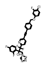 OC(Cn1cnnn1)(c1ccc(F)cc1F)C(F)(F)c1ccc(C#Cc2ccc(COc3ccc(Cl)c(F)c3)cc2)cn1